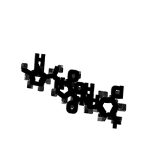 Cc1ccc(C(C)N2CCC(O)(C(=O)NCc3cc(F)cc(Cl)c3)C2=O)[nH]1